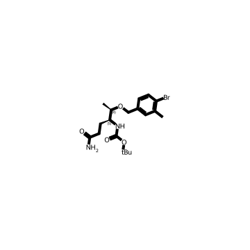 Cc1cc(CO[C@H](C)[C@H](CCC(N)=O)NC(=O)OC(C)(C)C)ccc1Br